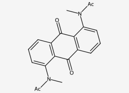 CC(=O)N(C)c1cccc2c1C(=O)c1cccc(N(C)C(C)=O)c1C2=O